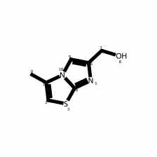 Cc1csc2nc(CO)cn12